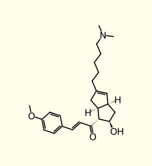 COc1ccc(/C=C/C(=O)[C@@H]2[C@H]3CC(CCCCCN(C)C)=C[C@H]3C[C@H]2O)cc1